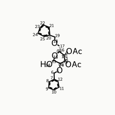 CC(=O)O[C@H]1[C@H](OC(C)=O)[C@@H](OCc2ccccc2)C(O)O[C@@H]1COCc1ccccc1